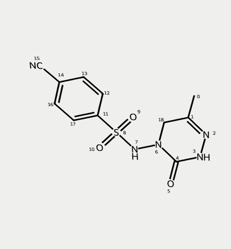 CC1=NNC(=O)N(NS(=O)(=O)c2ccc(C#N)cc2)C1